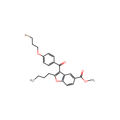 CCCCc1oc2ccc(C(=O)OC)cc2c1C(=O)c1ccc(OCCCBr)cc1